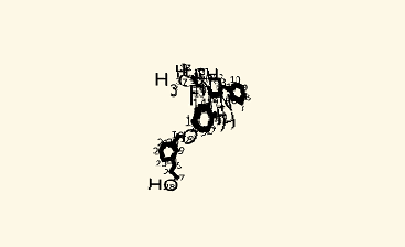 C[C@@H]1Cc2c([nH]c3ccccc23)[C@@H](c2c(F)cc(OCc3cccc(CCCO)c3)cc2F)N1CC(C)(C)F